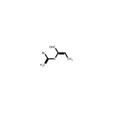 C=C(Br)S/C(C=O)=C\C